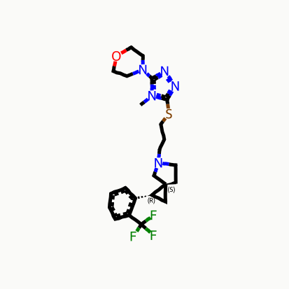 Cn1c(SCCCN2CC[C@]3(C[C@@H]3c3ccccc3C(F)(F)F)C2)nnc1N1CCOCC1